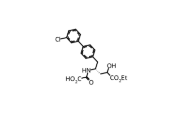 CCOC(=O)C(O)C[C@@H](Cc1ccc(-c2cccc(Cl)c2)cc1)NC(=O)C(=O)O